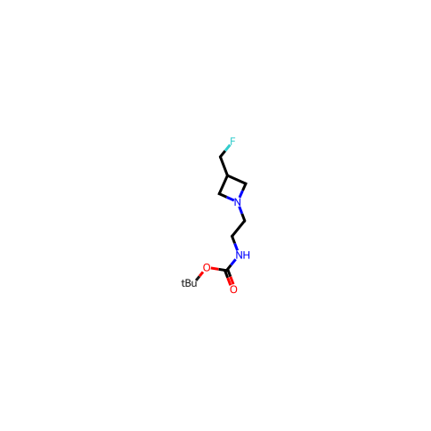 CC(C)(C)OC(=O)NCCN1CC(CF)C1